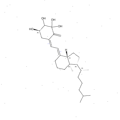 C=C1/C(=C\C=C2/CCC[C@]3(C)[C@@H]([C@H](C)CCCC(C)C)CC[C@@H]23)C[C@@H](O)C(O)C1(O)O